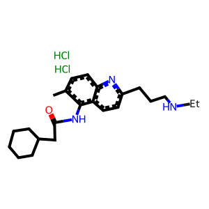 CCNCCCc1ccc2c(NC(=O)CC3CCCCC3)c(C)ccc2n1.Cl.Cl